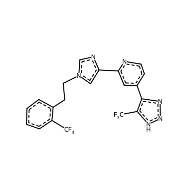 FC(F)(F)c1ccccc1CCn1cnc(-c2cc(-c3nn[nH]c3C(F)(F)F)ccn2)c1